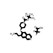 CCCc1cc2cnccc2cc1SC1CCN(C(=O)OC(C)(C)C)CC1.O=C(O)C(F)(F)F